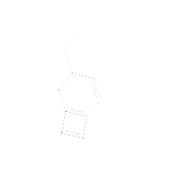 ICc1ccc2c(c1)C=C2